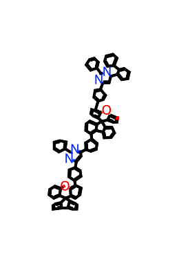 c1ccc(-c2nc(-c3ccc(-c4cccc5c4Oc4ccccc4C54c5ccccc5-c5ccccc54)cc3)cc(-c3cccc(-c4cccc5c4-c4ccccc4C54c5ccccc5Oc5c(-c6ccc(-c7cc(-c8ccccc8-c8ccccc8)nc(-c8ccccc8)n7)cc6)cccc54)c3)n2)cc1